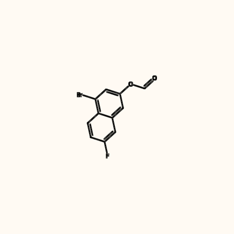 O=COc1cc(Br)c2ccc(F)cc2c1